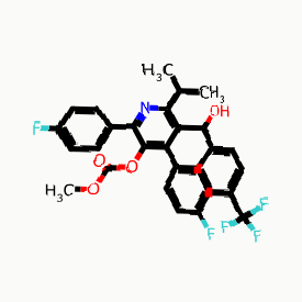 COC(=O)Oc1c(-c2ccc(F)cc2)nc(C(C)C)c(C(O)c2ccc(C(F)(F)F)cc2)c1-c1ccc(F)cc1